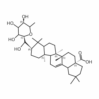 CC1O[C@@H](C(O)[C@@H]2CC[C@@]3(C)C(CC[C@]4(C)C3CC=C3C5CC(C)(C)CC[C@]5(C(=O)O)CC[C@]34C)C2(C)C)C(O)C(O)[C@H]1O